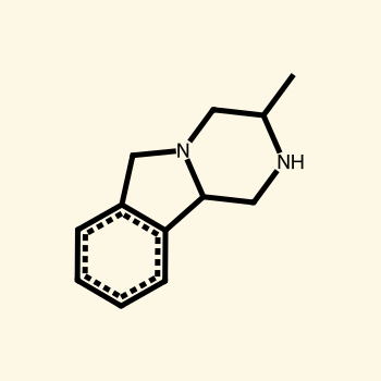 CC1CN2Cc3ccccc3C2CN1